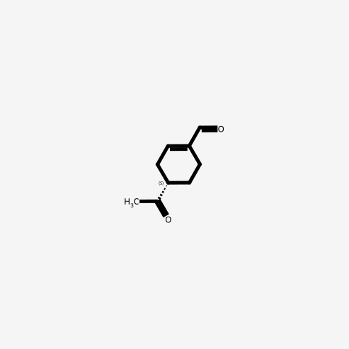 CC(=O)[C@@H]1CC=C(C=O)CC1